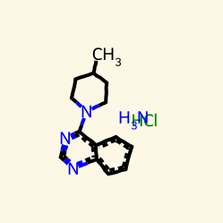 CC1CCN(c2ncnc3ccccc23)CC1.Cl.N